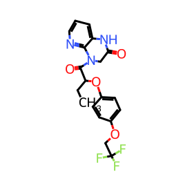 CCC(Oc1ccc(OCC(F)(F)F)cc1)C(=O)N1CC(=O)Nc2cccnc21